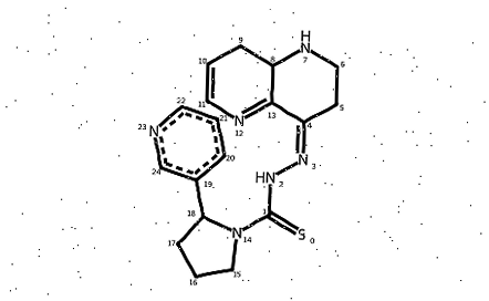 S=C(N/N=C1/CCNC2CC=CN=C12)N1CCCC1c1cccnc1